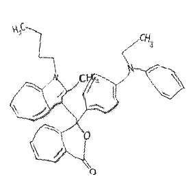 CCCCn1c(C)c(C2(c3ccc(N(CC)c4ccccc4)cc3)OC(=O)c3ccccc32)c2ccccc21